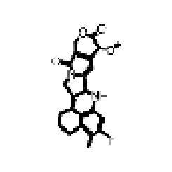 CO[C@@H]1C(=O)OCc2c1cc1n(c2=O)CC2=C3CCCc4c(C)c(F)cc(c43)NC21